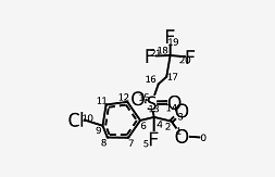 COC(=O)C(F)(c1ccc(Cl)cc1)S(=O)(=O)CCC(F)(F)F